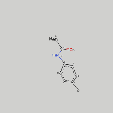 [CH2]OC(=O)Nc1ccc(C)cc1